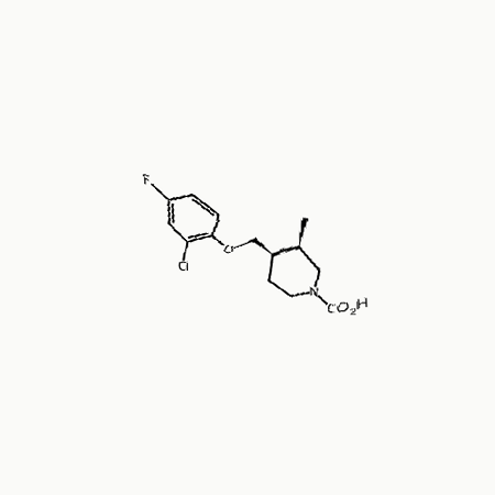 C[C@H]1CN(C(=O)O)CC[C@H]1COc1ccc(F)cc1Cl